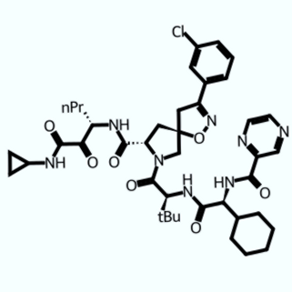 CCC[C@H](NC(=O)[C@@H]1C[C@]2(CC(c3cccc(Cl)c3)=NO2)CN1C(=O)[C@@H](NC(=O)[C@@H](NC(=O)c1cnccn1)C1CCCCC1)C(C)(C)C)C(=O)C(=O)NC1CC1